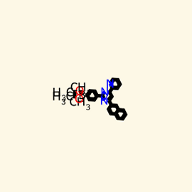 CC1(C)OB(c2ccc(-c3nc(-c4ccc5ccccc5c4)cc(-c4ccccn4)n3)cc2)OC1(C)C